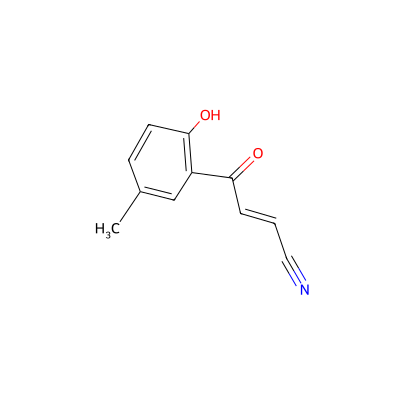 Cc1ccc(O)c(C(=O)/C=C/C#N)c1